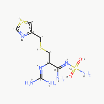 NC(N)=NC(CSCc1cscn1)C(N)=NS(N)(=O)=O